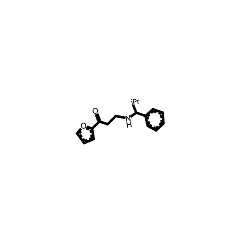 CC(C)C(NCCC(=O)c1ccco1)c1ccccc1